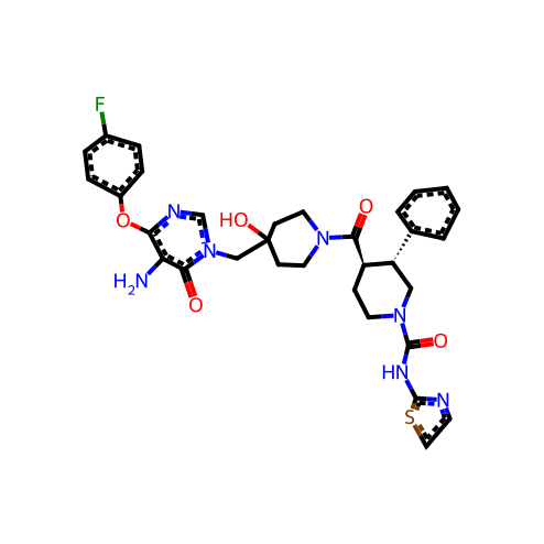 Nc1c(Oc2ccc(F)cc2)ncn(CC2(O)CCN(C(=O)[C@@H]3CCN(C(=O)Nc4nccs4)C[C@H]3c3ccccc3)CC2)c1=O